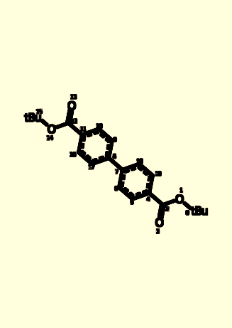 CC(C)(C)OC(=O)c1ccc(-c2ccc(C(=O)OC(C)(C)C)cc2)cc1